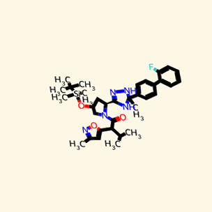 Cc1cc(C(C(=O)N2CC(O[Si](C)(C)C(C)(C)C)C[C@H]2C2=NNC(C)(c3ccc(-c4ccccc4F)cc3)N2)C(C)C)on1